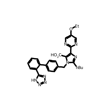 CCCCc1nc(-c2ncc(OCC)cn2)c(C(=O)O)n1Cc1ccc(-c2ccccc2-c2nnn[nH]2)cc1